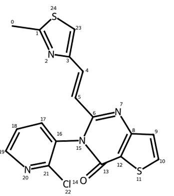 Cc1nc(C=Cc2nc3ccsc3c(=O)n2-c2cccnc2Cl)cs1